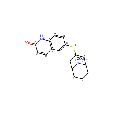 CCOC(=O)N1C2CCCC1CC(Sc1ccc3[nH]c(=O)ccc3c1)C2